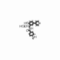 CNC1CCC(C(=O)NCc2cc(-c3ccncc3)ccc2O)CC1.Cl.Cl